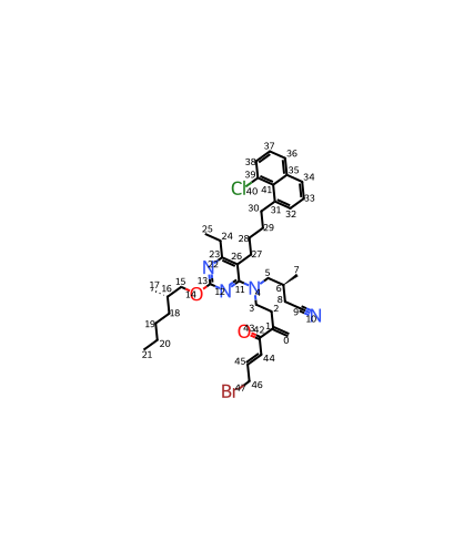 C=C(CCN(C[C@@H](C)CC#N)c1nc(OC[C@@H](C)CCCC)nc(CC)c1CCCCc1cccc2cccc(Cl)c12)C(=O)/C=C/CBr